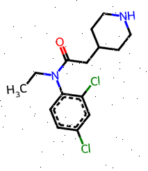 CCN(C(=O)CC1CCNCC1)c1ccc(Cl)cc1Cl